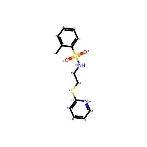 Cc1ccccc1S(=O)(=O)NCCSc1ccccn1